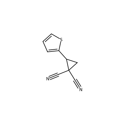 N#CC1(C#N)CC1c1cccs1